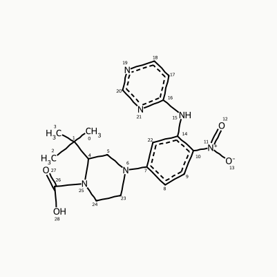 CC(C)(C)C1CN(c2ccc([N+](=O)[O-])c(Nc3ccncn3)c2)CCN1C(=O)O